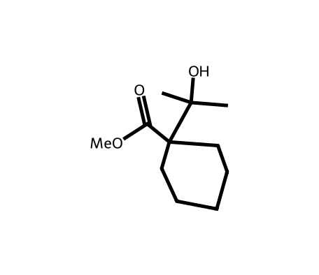 COC(=O)C1(C(C)(C)O)CCCCC1